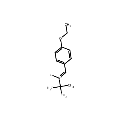 CCOc1ccc(C=[N+]([O-])C(C)(C)C)cc1